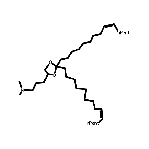 CCCCC/C=C\CCCCCCCCC1(CCCCCCCC/C=C\CCCCC)OCC(CCCN(C)C)O1